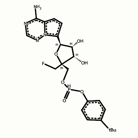 CC(C)(C)c1ccc(O[PH](=O)OC[C@@]2(CF)O[C@@H](c3ccc4c(N)ncnn34)[C@H](O)[C@@H]2O)cc1